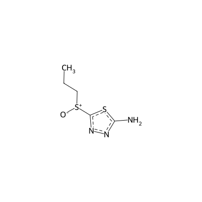 CCC[S+]([O-])c1nnc(N)s1